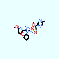 COc1cccc(-c2nnc(NS(=O)(=O)[C@@H](C)[C@H](OC)c3cnc(C)cn3)n2-c2ccccc2OC)n1